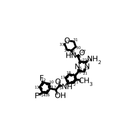 Cc1cc(NC(=O)C(O)c2cc(F)cc(F)c2)ccc1-c1cnc(N)c(C(=O)NC2CCOCC2)n1